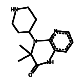 CC1(C)C(=O)Nc2cccnc2N1C1CCNCC1